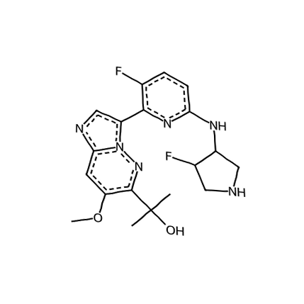 COc1cc2ncc(-c3nc(NC4CNCC4F)ccc3F)n2nc1C(C)(C)O